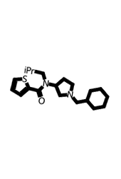 CC(C)CN(C(=O)c1cccs1)C1CCN(CC2CCCCC2)C1